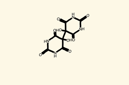 O=C1NC(=O)C(O)(C2(O)C(=O)NC(=O)NC2=O)C(=O)N1